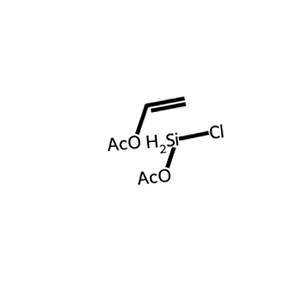 C=COC(C)=O.CC(=O)O[SiH2]Cl